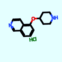 Cl.c1cc(OC2CCNCC2)c2ccncc2c1